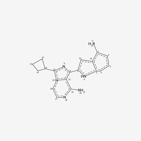 Bc1cccc2[nH]c(-c3nc(C4CCC4)n4ccnc(N)c34)cc12